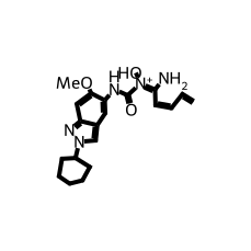 C=C/C=C\C(N)=[N+](\O)C(=O)Nc1cc2cn(C3CCCCC3)nc2cc1OC